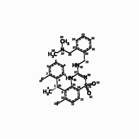 C[C@H](c1ccccc1F)c1c(F)ccc2c1NC(NCc1ccccc1CN(C)C)=NS2(=O)=O